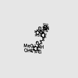 COc1cc(NC(=O)CCCc2cccc(C3(C(=O)OC4CN5CCC4CC5)CCCC3)c2)c(Cl)cc1C=O